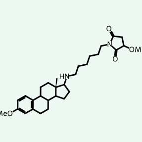 COc1ccc2c(c1)CCC1C2CC[C@]2(C)C(NCCCCCCN3C(=O)CC(OC)C3=O)CCC12